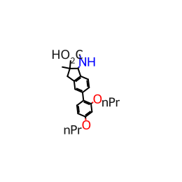 CCCOc1ccc(-c2ccc3c(c2)CC(C)(C)C3NC(=O)O)c(OCCC)c1